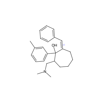 Cc1cccc(C2(O)/C(=C\c3ccccc3)CCCCC2CN(C)C)c1